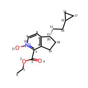 CCOC(=O)c1c2c(cc[n+]1[O-])[C@H](CCC1CC1)CC2